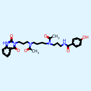 CC(=O)N(CCCCN(CCCn1c(=O)[nH]c2ccccc2c1=O)C(C)=O)CCCNC(=O)c1ccc(O)cc1